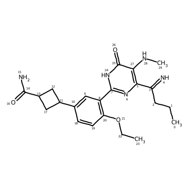 CCCC(=N)c1nc(-c2cc(C3CC(C(N)=O)C3)ccc2OCC)[nH]c(=O)c1NC